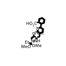 CCCCCC1=CN(C(CC)(OC)OC)NN1Cc1ccc(-c2ccccc2C(=O)O)nc1